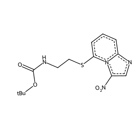 CC(C)(C)OC(=O)NCCSc1cccc2ncc([N+](=O)[O-])n12